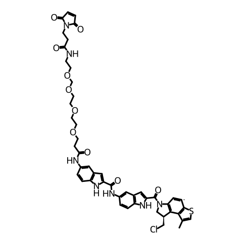 Cc1csc2[c]cc3c(c12)[C@@H](CCl)CN3C(=O)c1cc2cc(NC(=O)c3cc4cc(NC(=O)CCOCCOCCOCOCCNC(=O)CCN5C(=O)C=CC5=O)ccc4[nH]3)ccc2[nH]1